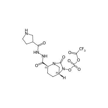 O=C(NNC(=O)[C@@H]1CC[C@@H]2CN1C(=O)N2OS(=O)(=O)OC(=O)C(F)(F)F)C1CCNC1